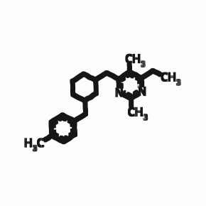 CCc1nc(C)nc(CC2CCCC(Cc3ccc(C)cc3)C2)c1C